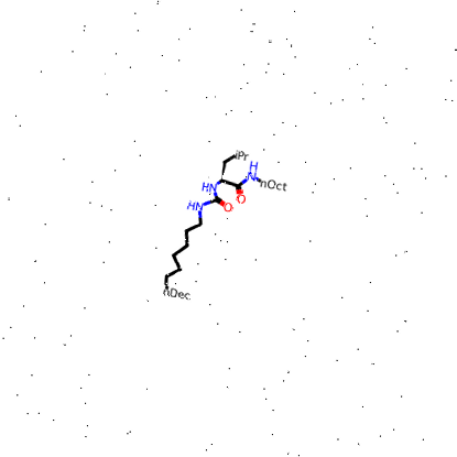 CCCCCCCCCCCCCCCCNC(=O)N[C@@H](CC(C)C)C(=O)NCCCCCCCC